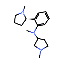 CN1CCC(N(C)c2ccccc2[C@H]2CCCN2C)C1